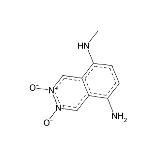 CNc1ccc(N)c2c[n+]([O-])[n+]([O-])cc12